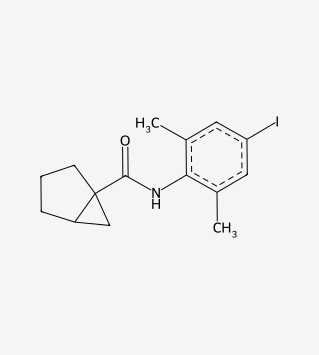 Cc1cc(I)cc(C)c1NC(=O)C12CCCC1C2